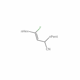 CCCCCCC(F)=CC(C#N)CCCCC